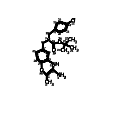 CC1=C(N)Nc2cc(CN(Cc3ccc(Cl)cc3)C(=O)OC(C)(C)C)ccc2O1